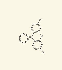 Brc1ccc2c(c1)Oc1cc(Br)ccc1N2.c1ccccc1